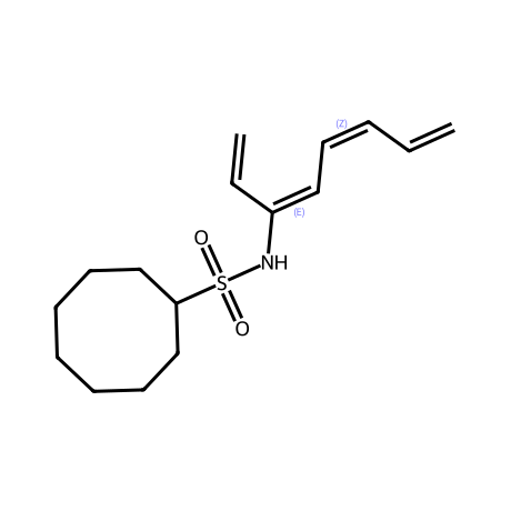 C=C/C=C\C=C(/C=C)NS(=O)(=O)C1CCCCCCC1